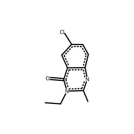 CCn1c(C)nc2ccc(Cl)cc2c1=O